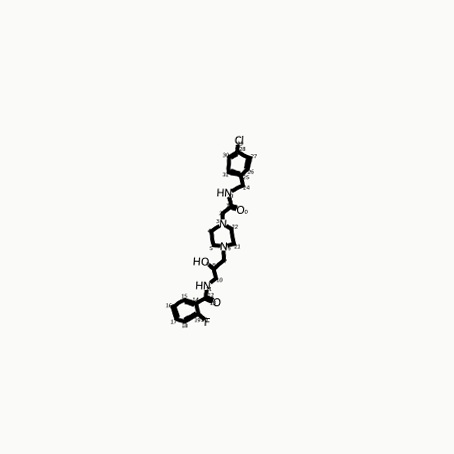 O=C(CN1CCN(CC(O)CNC(=O)c2ccccc2F)CC1)NCc1ccc(Cl)cc1